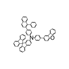 c1ccc(-c2c(-c3ccc(N(c4ccc(-c5ccc6oc7ccccc7c6c5)cc4)c4ccc5c(c4)C4(c6ccccc6-c6ccccc64)c4ccccc4-5)cc3)ccc3ccccc23)cc1